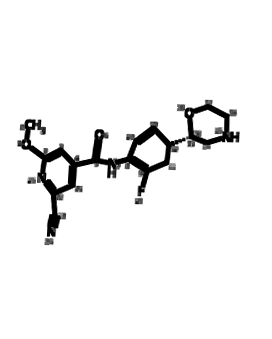 COc1cc(C(=O)NC2=C(F)CC([C@H]3CNCCO3)C=C2)cc(C#N)n1